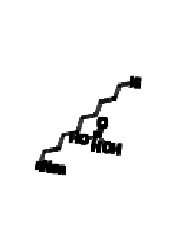 CCCCCCCCCCCCCCCCC[CH2][Ni].O=[PH](O)O